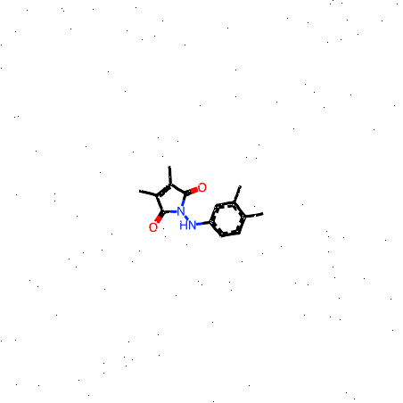 CC1=C(C)C(=O)N(Nc2ccc(C)c(C)c2)C1=O